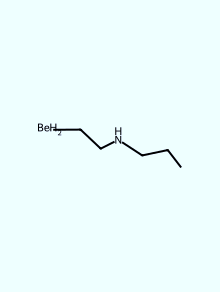 [BeH2].[CH2]CCNCCC